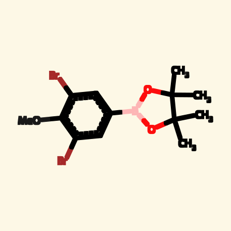 COc1c(Br)cc(B2OC(C)(C)C(C)(C)O2)cc1Br